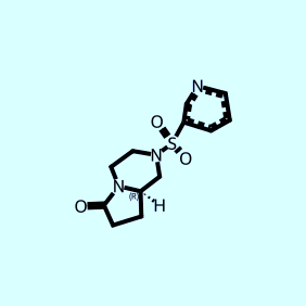 O=C1CC[C@@H]2CN(S(=O)(=O)c3cccnc3)CCN12